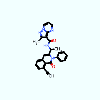 C#Cc1cccc2cc(C(C)NC(=O)c3c(C)nn4cccnc34)n(-c3ccccc3)c(=O)c12